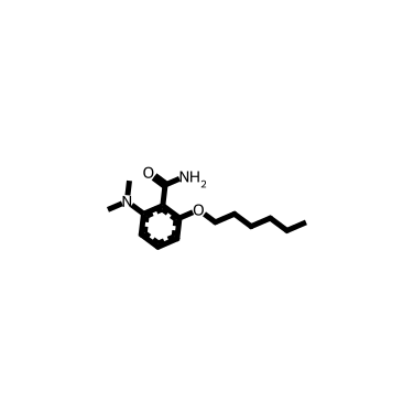 CCCCCCOc1cccc(N(C)C)c1C(N)=O